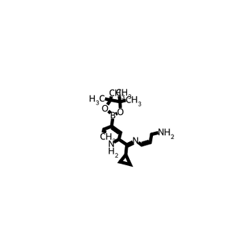 C=C/C(=C\C(N)C(=N/C=C\CN)C1CC1)B1OC(C)(C)C(C)(C)O1